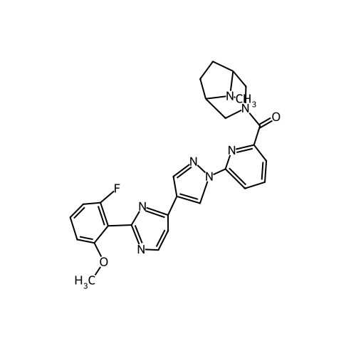 COc1cccc(F)c1-c1nccc(-c2cnn(-c3cccc(C(=O)N4CC5CCC(C4)N5C)n3)c2)n1